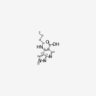 CCCCNc1c(C(=O)O)cnc2nn(C)cc12